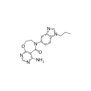 CCCn1cnc2cc(N3CCOc4ncnc(N)c4C3=O)ccc21